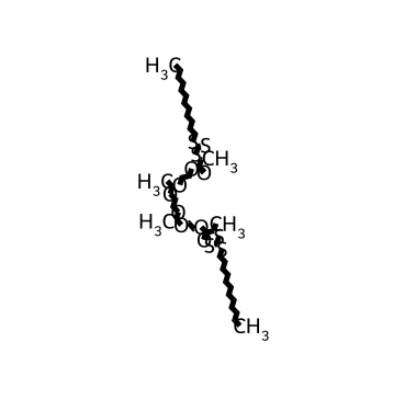 CCCCCCCCCCCCSC(=S)SC(C)C(=O)OCCOC(C)OCCOC(C)OCCOC(=O)C(C)SC(=S)SCCCCCCCCCCCC